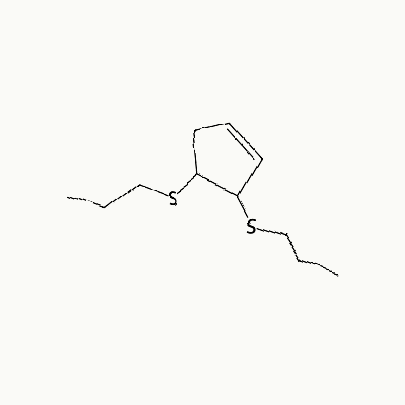 CCCSC1C=CCC1SCCC